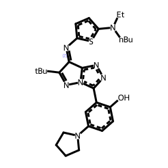 CCCCN(CC)c1ccc(/N=C2/C(C(C)(C)C)=Nn3c2nnc3-c2cc(N3CCCC3)ccc2O)s1